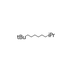 [CH2]C(C)CCCCCCC(C)(C)C